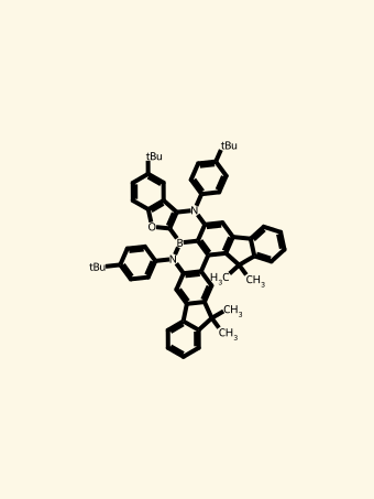 CC(C)(C)c1ccc(N2B3c4oc5ccc(C(C)(C)C)cc5c4N(c4ccc(C(C)(C)C)cc4)c4cc5c(c(c43)-c3cc4c(cc32)-c2ccccc2C4(C)C)C(C)(C)c2ccccc2-5)cc1